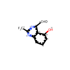 O=Cc1nc(C(F)(F)F)nc2cccc(O)c12